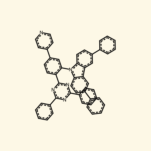 c1ccc(-c2ccc3c(c2)c2cc(-c4ccccc4)ccc2n3-c2cc(-c3ccncc3)ccc2-c2nc(-c3ccccc3)nc(-c3ccccc3)n2)cc1